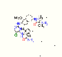 COc1c(Nc2ncc(Cl)c(N[C@H]3[C@@H](C(N)=O)[C@@H]4C=C[C@H]3C4)n2)ccc2c1CCCC(NC(=O)C(C)(C)N)C2